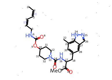 C/C=C\C=C/CNC(=O)OC1CCN(C(=O)NC(Cc2cc(C)c3[nH]ncc3c2)C(=O)OC)CC1